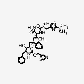 C[C@@H](C[C@H](CCC(O)C(Cc1ccccc1)NC(=O)OCc1cncs1)c1ccccc1)[C@H](NC(=O)N(C)Cc1csc(N(C)C)n1)C(N)=O